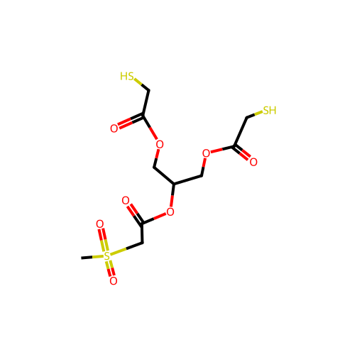 CS(=O)(=O)CC(=O)OC(COC(=O)CS)COC(=O)CS